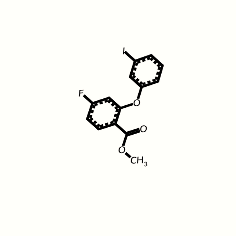 COC(=O)c1ccc(F)cc1Oc1cccc(I)c1